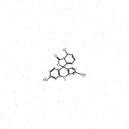 O=C1OC2(C3=CC=CC(Cl)C13)c1ccc(O)cc1Oc1cc(O)ccc12